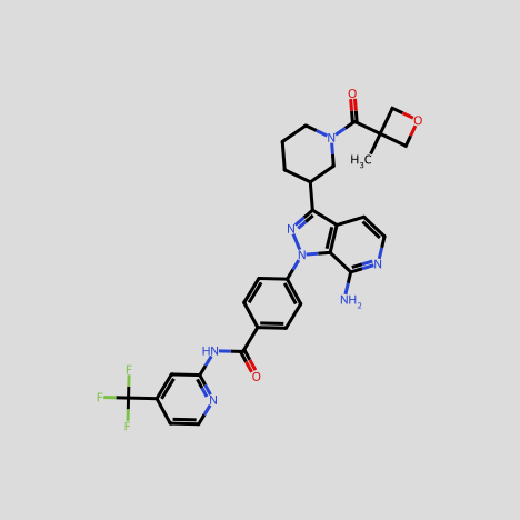 CC1(C(=O)N2CCCC(c3nn(-c4ccc(C(=O)Nc5cc(C(F)(F)F)ccn5)cc4)c4c(N)nccc34)C2)COC1